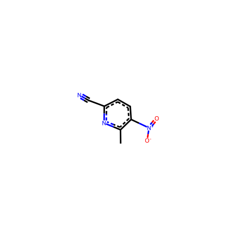 Cc1nc(C#N)ccc1[N+](=O)[O-]